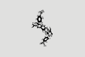 CC(C)N(CC1CCC(CN(C(=O)Nc2ccc(N(C)C)cc2)C(C)C)CC1)C(=O)Nc1ccc(N(C)C)cc1